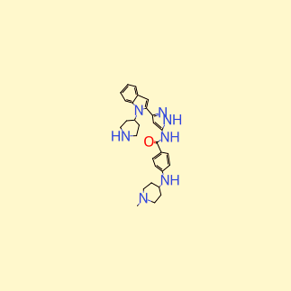 CN1CCC(Nc2ccc(C(=O)Nc3cc(-c4cc5ccccc5n4C4CCNCC4)n[nH]3)cc2)CC1